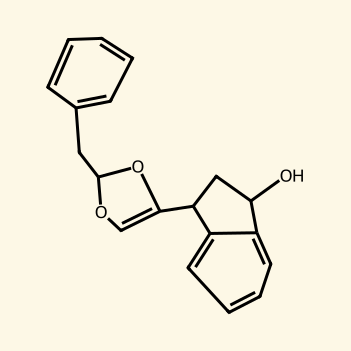 OC1CC(C2=COC(Cc3ccccc3)O2)c2ccccc21